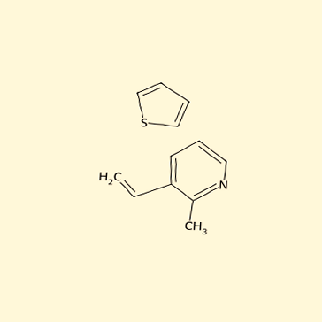 C=Cc1cccnc1C.c1ccsc1